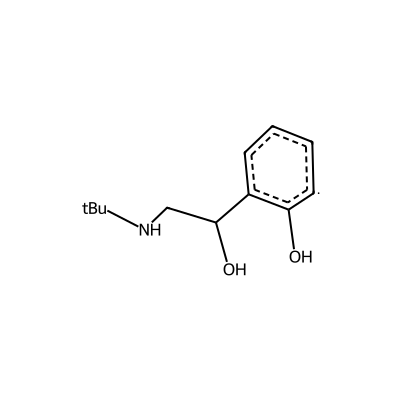 CC(C)(C)NCC(O)c1ccc[c]c1O